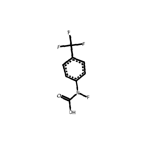 O=C(O)N(F)c1ccc(C(F)(F)F)cc1